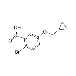 O=C(O)c1cc(OCC2CC2)ccc1Br